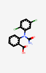 NC(=O)N(c1cc(Cl)ccc1Cl)c1ccccc1C(=O)O